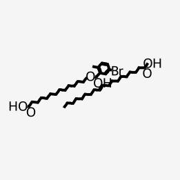 CCCCCCCCC=CCCCCCCCCC(=O)O.CCCCCCCCCCCCCC(=O)O.Cc1ccc(Br)cc1C(=O)O